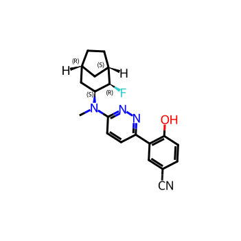 CN(c1ccc(-c2cc(C#N)ccc2O)nn1)[C@H]1C[C@@H]2CC[C@@H](C2)[C@H]1F